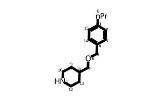 CCCc1ccc(COCC2[CH]CNCC2)cc1